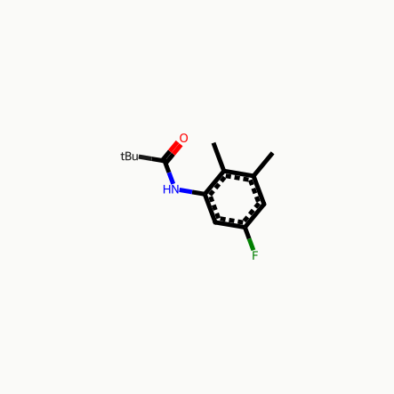 Cc1cc(F)cc(NC(=O)C(C)(C)C)c1C